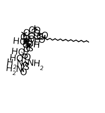 CCCCCCCCCCCCCCCCCC(=O)OC[C@H](F)C1O[C@@H](OP(=O)(O)OP(O)(=S)OC[C@H]2O[C@@H](c3c(N)sc(C(N)=O)c3N)[C@H](O)[C@H]2O)[C@H](OC(C)=O)[C@@H](OC(C)=O)[C@@H]1OC(C)=O